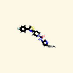 CC(=O)Nc1ccc(NC(=O)N2CCC(c3nc(-c4ccc(F)cc4)cs3)CC2)cn1